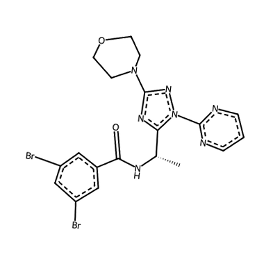 C[C@H](NC(=O)c1cc(Br)cc(Br)c1)c1nc(N2CCOCC2)nn1-c1ncccn1